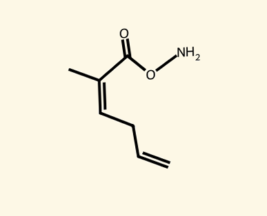 C=CCC=C(C)C(=O)ON